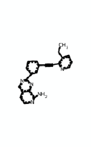 CCc1cccnc1C#Cc1cccc(-c2ncc3ccnc(N)c3n2)c1